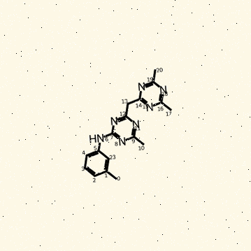 Cc1cccc(Nc2nc(C)nc(Cc3nc(C)nc(C)n3)n2)c1